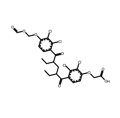 CCC(CC(CC)C(=O)c1ccc(OCC(=O)O)c(Cl)c1Cl)C(=O)c1ccc(OCOC=O)c(Cl)c1Cl